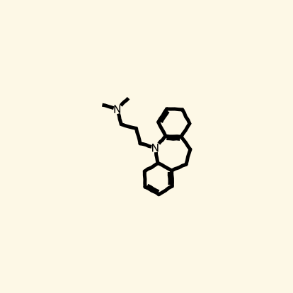 CN(C)CCCN1C2=C(CCC=C2)CCC2=CC=CCC21